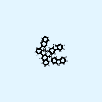 c1ccc2cc3c(cc2c1)c1cccc2c1n3B1c3cc4oc5ccccc5c4cc3N(c3ccc4oc5ccccc5c4c3)c3c1c-2cc1ccccc31